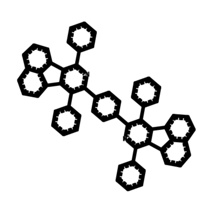 c1ccc(-c2nc(-c3ccc(-c4nc(-c5ccccc5)c5c(c4-c4ccccc4)-c4cccc6cccc-5c46)cc3)c(-c3ccccc3)c3c2-c2cccc4cccc-3c24)cc1